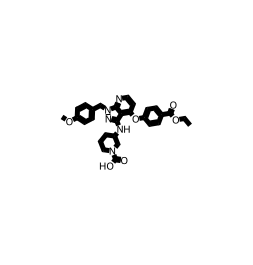 CCOC(=O)c1ccc(Oc2ccnc3c2c(NC2CCCN(C(=O)O)C2)nn3Cc2ccc(OC)cc2)cc1